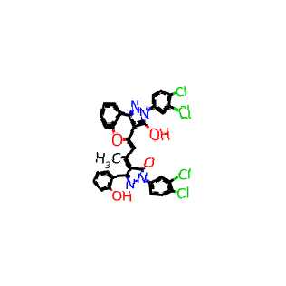 CC(C=C1Oc2ccccc2-c2nn(-c3ccc(Cl)c(Cl)c3)c(O)c21)=C1C(=O)N(c2ccc(Cl)c(Cl)c2)N=C1c1ccccc1O